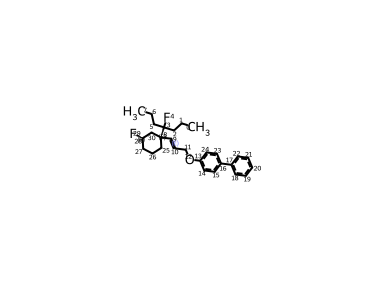 CCCC(F)(CCC)[C@@]1(/C=C/COc2ccc(-c3ccccc3)cc2)CCC[C@@H](F)C1